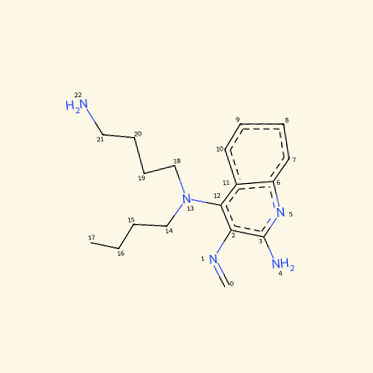 C=Nc1c(N)nc2ccccc2c1N(CCCC)CCCCN